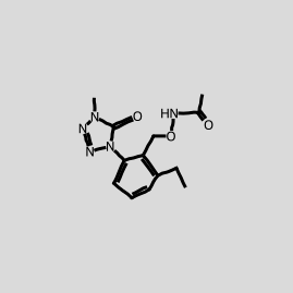 CCc1cccc(-n2nnn(C)c2=O)c1CONC(C)=O